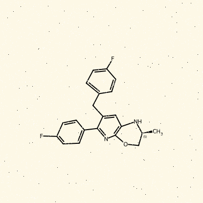 C[C@H]1COc2nc(-c3ccc(F)cc3)c(Cc3ccc(F)cc3)cc2N1